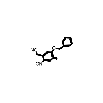 N#CCc1cc(OCc2ccccc2)c(F)cc1N=O